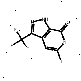 O=c1[nH]c(I)cc2c(C(F)(F)F)n[nH]c12